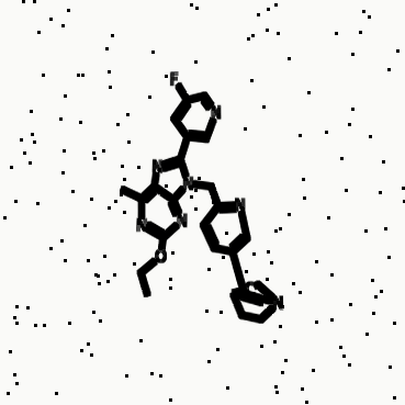 CCOc1nc(C)c2nc(-c3cncc(F)c3)n(Cc3ccc(C4=CN5CCC4CC5)cn3)c2n1